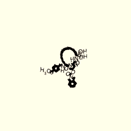 COc1ccc(CN[C@H]2CCCCCCCCC[C@@H](B(O)O)NC(=O)[C@@H]3C[C@@H](OC(=O)N4Cc5ccccc5C4)CN3C2=O)cc1